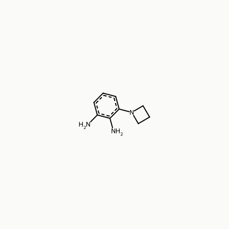 Nc1cccc(N2CCC2)c1N